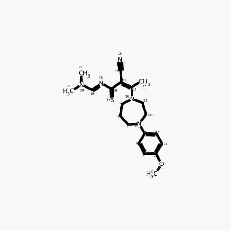 COc1ccc(N2CCCN(C(C)=C(C#N)C(=S)N=CN(C)C)CC2)cc1